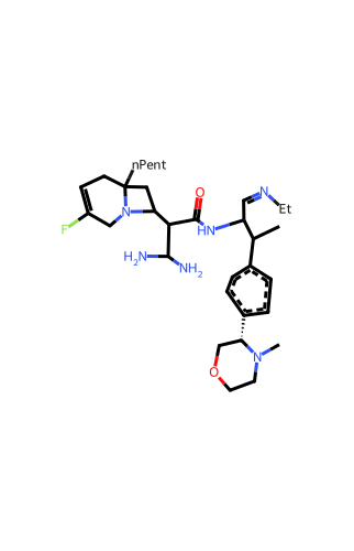 CCCCCC12CC=C(F)CN1C(C(C(=O)NC(/C=N\CC)C(C)c1ccc([C@H]3COCCN3C)cc1)C(N)N)C2